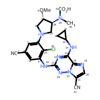 CO[C@H]1CN(c2cc(C#N)cc(Nc3nc(NC4CC4)c4ncc(C#N)n4n3)c2Cl)C[C@@H]1N(C)C(=O)O